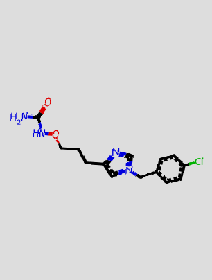 NC(=O)NOCCCc1cn(Cc2ccc(Cl)cc2)cn1